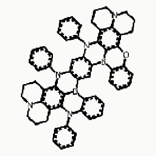 c1ccc(N2c3cc4c(cc3B3c5ccccc5Oc5c6c7c(c2c53)CCCN7CCC6)B2c3ccccc3N(c3ccccc3)c3c5c6c(c(c32)N4c2ccccc2)CCCN6CCC5)cc1